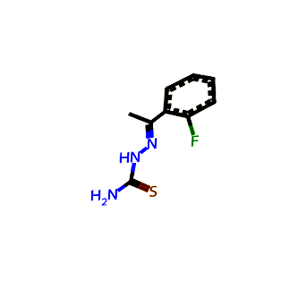 CC(=NNC(N)=S)c1ccccc1F